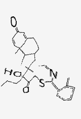 C=c1cccc/c1=C(/N=C\C)SCC(=O)[C@@](O)(CCC)C(C)(C)CC1CCC2=CC(=O)C=CC2(C)C1C